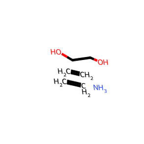 C=C.C=C.N.OCCO